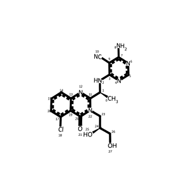 C[C@H](Nc1ncnc(N)c1C#N)c1nc2cccc(Cl)c2c(=O)n1C[C@H](O)CO